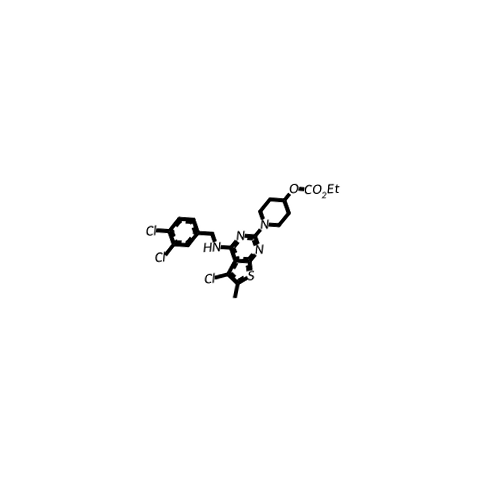 CCOC(=O)OC1CCN(c2nc(NCc3ccc(Cl)c(Cl)c3)c3c(Cl)c(C)sc3n2)CC1